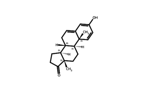 C[C@]12C=CC(O)=CC1=CC[C@@H]1[C@@H]2CC[C@]2(C)C(=O)CC[C@@H]12